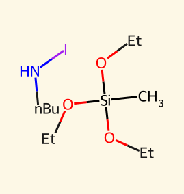 CCCCNI.CCO[Si](C)(OCC)OCC